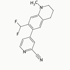 CN1CCCc2cc(-c3ccnc(C#N)c3)c(C(F)F)cc21